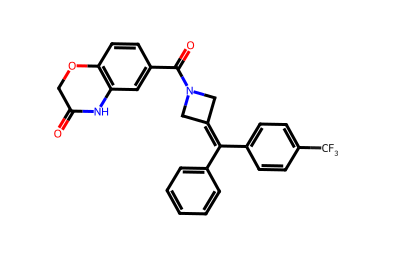 O=C1COc2ccc(C(=O)N3CC(=C(c4ccccc4)c4ccc(C(F)(F)F)cc4)C3)cc2N1